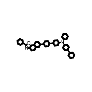 c1ccc(-c2ccc(N(c3ccccc3)c3ccc(-c4ccc(-c5ccc6c(ccc7nc(-c8ccccc8)oc76)c5)cc4)cc3)cc2)cc1